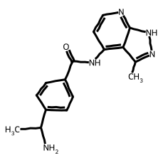 Cc1n[nH]c2nccc(NC(=O)c3ccc(C(C)N)cc3)c12